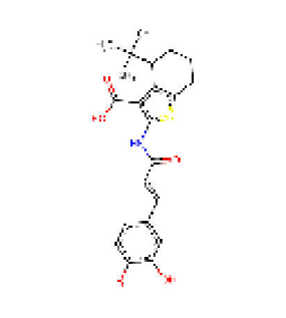 CC(C)(C)C1CCCc2sc(NC(=O)C=Cc3ccc(O)c(O)c3)c(C(=O)O)c21